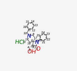 Cl.O=C1[C@H](CO)C2(CCN(Cc3ccccc3)CC2)N1c1ccccc1